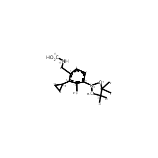 CC1(C)OB(c2ccc(CNC(=O)O)c(C3CC3)c2F)OC1(C)C